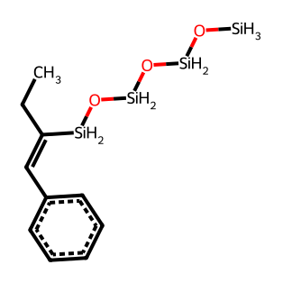 CCC(=Cc1ccccc1)[SiH2]O[SiH2]O[SiH2]O[SiH3]